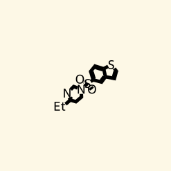 CCC1=NCN(S(=O)(=O)c2ccc3sccc3c2)CC1